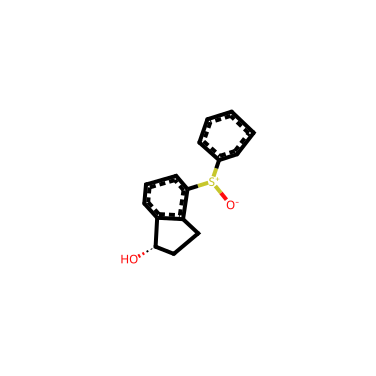 [O-][S+](c1ccccc1)c1cccc2c1CC[C@@H]2O